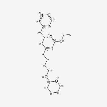 CCOC(=O)C=C(CCCCOC1CCCCO1)CCCc1cccnc1